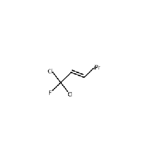 CC(C)C=CC(F)(Cl)Cl